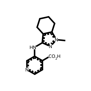 Cn1nc(Nc2cnccc2C(=O)O)c2c1CCCC2